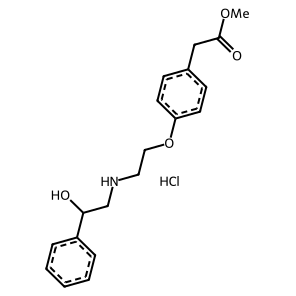 COC(=O)Cc1ccc(OCCNCC(O)c2ccccc2)cc1.Cl